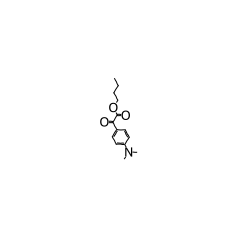 CCCCOC(=O)C(=O)c1ccc(N(C)C)cc1